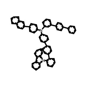 c1ccc(-c2ccc(-c3cccc(N(c4ccc(-c5ccc(-c6ccccc6-n6c7ccccc7c7ccccc76)cc5)cc4)c4ccc(-c5ccc6ccccc6c5)cc4)c3)cc2)cc1